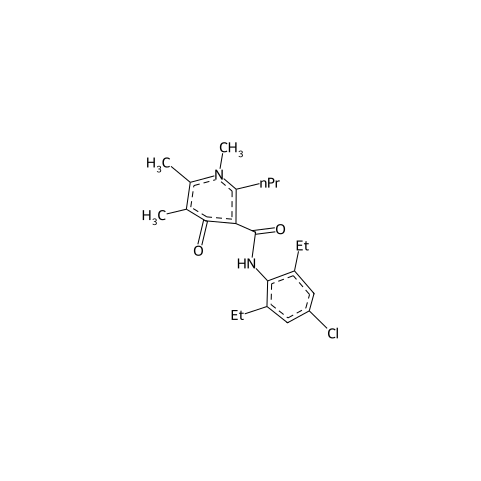 CCCc1c(C(=O)Nc2c(CC)cc(Cl)cc2CC)c(=O)c(C)c(C)n1C